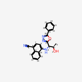 C[C@@H](O)[C@@H](Nc1ccc(C#N)c2ccccc12)c1nnc(-c2ccccc2)o1